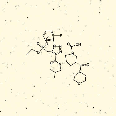 CCOP(=O)(Cc1c(C(=O)N(CC(C)C)[C@H]2C[C@@H](C(=O)N3CCOCC3)CN(C(=O)O)C2)nnn1-c1ccccc1F)OCC